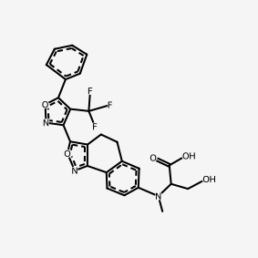 CN(c1ccc2c(c1)CCc1c-2noc1-c1noc(-c2ccccc2)c1C(F)(F)F)C(CO)C(=O)O